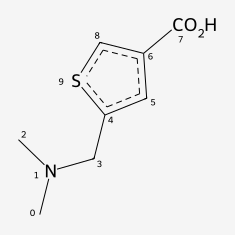 CN(C)Cc1cc(C(=O)O)cs1